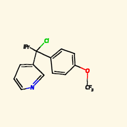 CC(C)C(Cl)(c1ccc(OC(F)(F)F)cc1)c1cccnc1